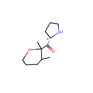 CC1CCCOC1(C)C(=O)[C@@H]1CCCN1